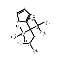 CN(C)CC(C1=CC=CC1)([Si](C)(C)C)[Si](C)(C)C